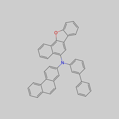 c1ccc(-c2cccc(N(c3ccc4c(ccc5ccccc54)c3)c3cc4c5ccccc5oc4c4ccccc34)c2)cc1